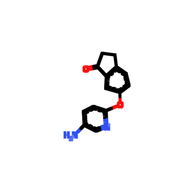 Nc1ccc(Oc2ccc3c(c2)C(=O)CC3)nc1